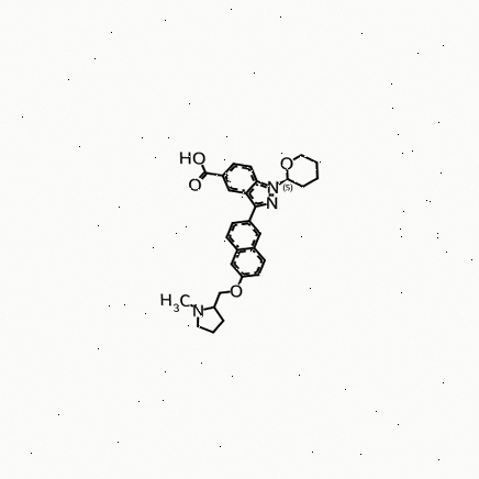 CN1CCCC1COc1ccc2cc(-c3nn([C@@H]4CCCCO4)c4ccc(C(=O)O)cc34)ccc2c1